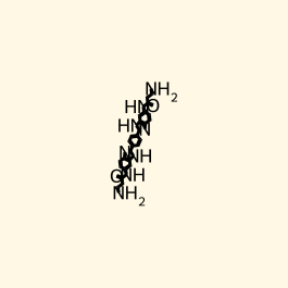 NCCC(=O)Nc1ccc2nc(-c3ccc(-c4nc5ccc(NC(=O)CCN)cc5[nH]4)cc3)[nH]c2c1